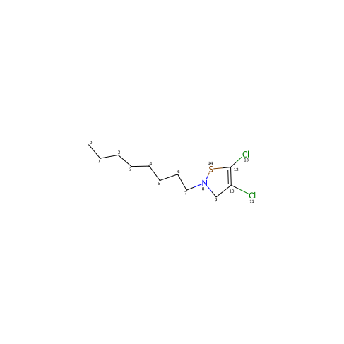 CCCCCCCCN1CC(Cl)=C(Cl)S1